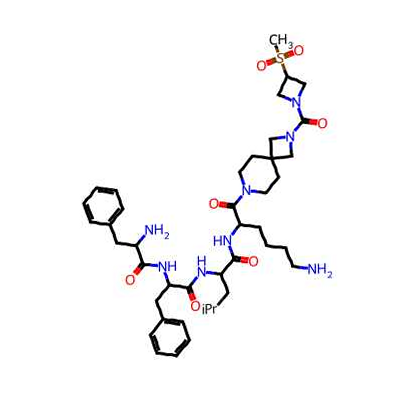 CC(C)CC(NC(=O)C(Cc1ccccc1)NC(=O)C(N)Cc1ccccc1)C(=O)NC(CCCCN)C(=O)N1CCC2(CC1)CN(C(=O)N1CC(S(C)(=O)=O)C1)C2